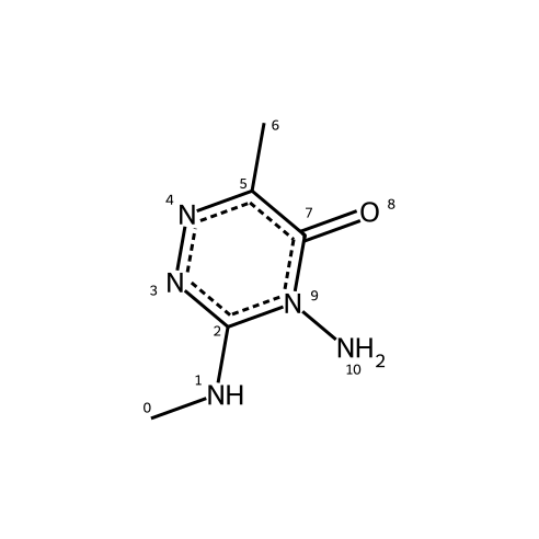 CNc1nnc(C)c(=O)n1N